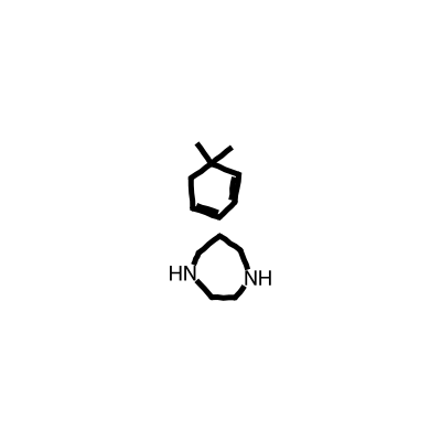 C1CNCCNC1.CC1(C)C=CC=CC1